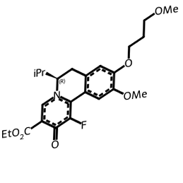 CCOC(=O)c1cn2c(c(F)c1=O)-c1cc(OC)c(OCCCOC)cc1C[C@@H]2C(C)C